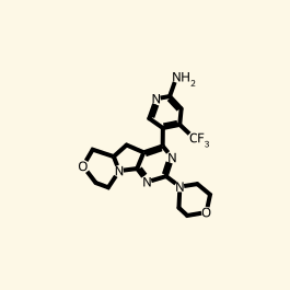 Nc1cc(C(F)(F)F)c(-c2nc(N3CCOCC3)nc3c2CC2COCCN32)cn1